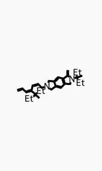 C=C/C=C(\C=C/CN1Cc2cc3c(cc2C1)C(=C)N(C(C)(CC)CC)C3)C(C)(CC)CC